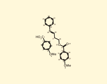 COc1ccc(C(=O)O)cc1.COc1ccc(C(=O)OCCC=Nc2ccccc2)cc1